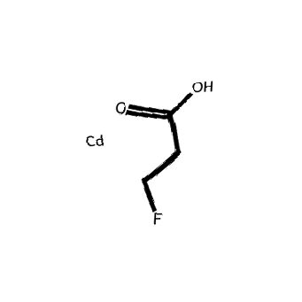 O=C(O)CCF.[Cd]